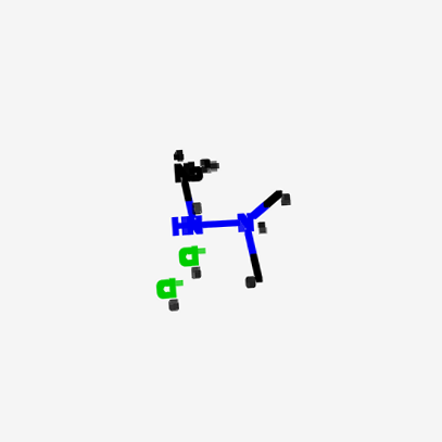 CN(C)[NH][Nb+2].[Cl-].[Cl-]